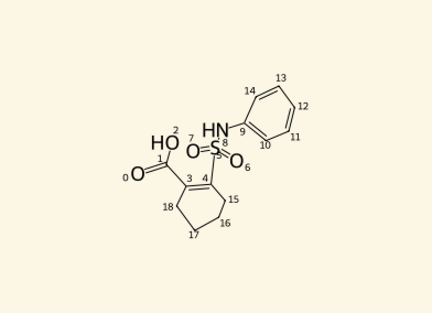 O=C(O)C1=C(S(=O)(=O)Nc2ccccc2)CCCC1